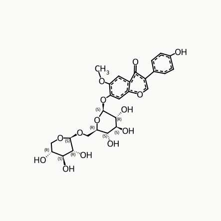 COc1cc2c(=O)c(-c3ccc(O)cc3)coc2cc1O[C@@H]1O[C@H](CO[C@@H]2OC[C@@H](O)[C@H](O)[C@H]2O)[C@@H](O)[C@H](O)[C@H]1O